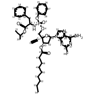 C#C[C@]1(CO[P@@](=O)(NC(Cc2ccccc2)C(=O)OC(C)C)Oc2ccccc2)O[C@@H](n2cnc3c(N)nc(F)nc32)C[C@@H]1OC(=O)CCCCCCCC